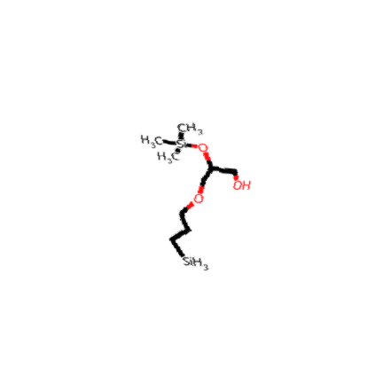 C[Si](C)(C)OC(CO)COCCC[SiH3]